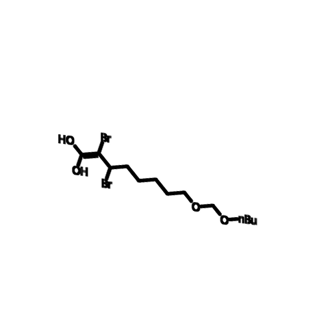 CCCCOCOCCCCCC(Br)C(Br)=C(O)O